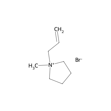 C=CC[N+]1(C)CCCC1.[Br-]